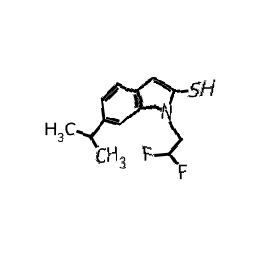 CC(C)c1ccc2cc(S)n(CC(F)F)c2c1